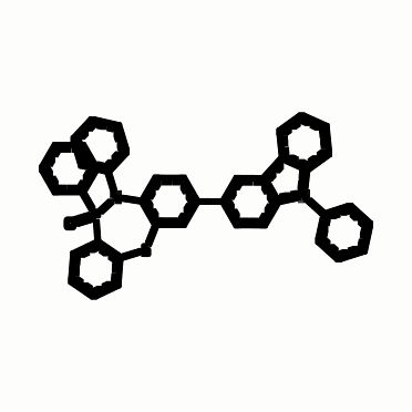 O=P1(c2ccccc2)c2ccccc2Sc2cc(-c3ccc4c(c3)c3ccccc3n4-c3ccccc3)ccc2N1c1ccccc1